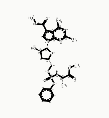 CNC(=O)c1cn([C@@H]2O[C@H](COP(=O)(N[C@@H](C)C(=O)OC)Oc3ccccc3)C[C@H]2O)c2nc(C)nc(N)c12